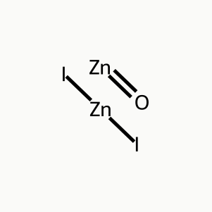 [I][Zn][I].[O]=[Zn]